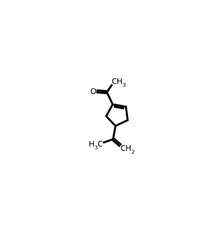 C=C(C)C1CC=C(C(C)=O)C1